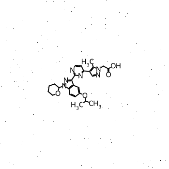 Cc1c(-c2ccnc(-c3nn(C4CCCCO4)c4ccc(OC(C)C)cc34)n2)cnn1CC(=O)O